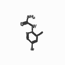 Cc1cc(Br)cnc1NC(N)=O